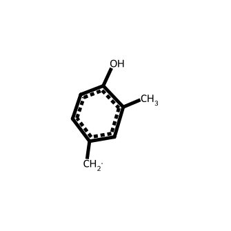 [CH2]c1ccc(O)c(C)c1